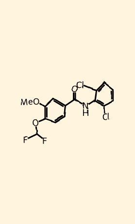 COc1cc(C(=O)Nc2c(Cl)cccc2Cl)ccc1OC(F)F